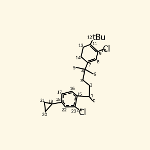 CC(CCC(C)(C)C1=CC(Cl)=C(C(C)(C)C)CC1)c1ccc(C2CC2)cc1Cl